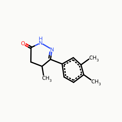 Cc1ccc(C2=NNC(=O)CC2C)cc1C